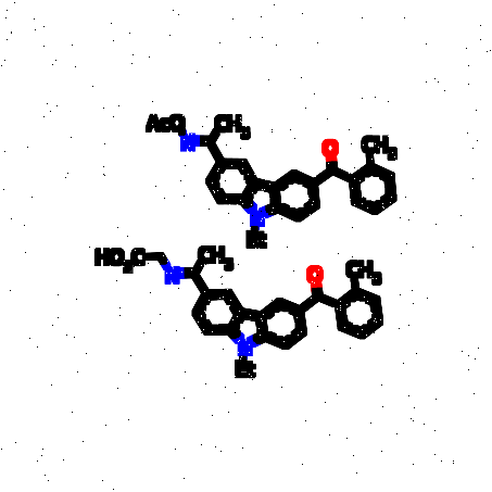 CCn1c2ccc(C(=O)c3ccccc3C)cc2c2cc(C(C)=NCC(=O)O)ccc21.CCn1c2ccc(C(=O)c3ccccc3C)cc2c2cc(C(C)=NOC(C)=O)ccc21